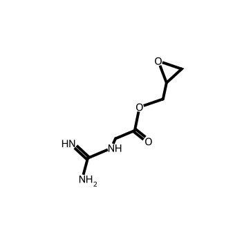 N=C(N)NCC(=O)OCC1CO1